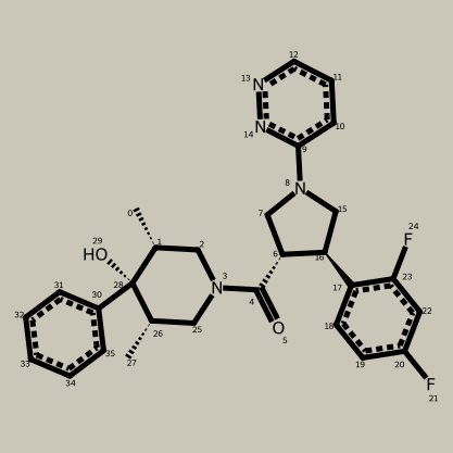 C[C@@H]1CN(C(=O)[C@@H]2CN(c3cccnn3)C[C@H]2c2ccc(F)cc2F)C[C@H](C)[C@@]1(O)c1ccccc1